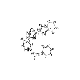 c1ccc(C2C[C@@H]2NCC2(c3noc(-c4cn5c(n4)CCCC5)n3)CC2)cc1